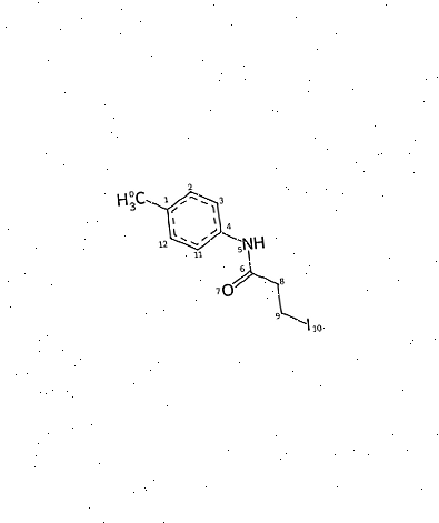 Cc1ccc(NC(=O)CCI)cc1